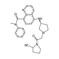 CN(C(=O)c1ccc(N[C@H]2CCN(CC(=O)N3CCCC3C#N)C2)c2cccnc12)c1ccccc1